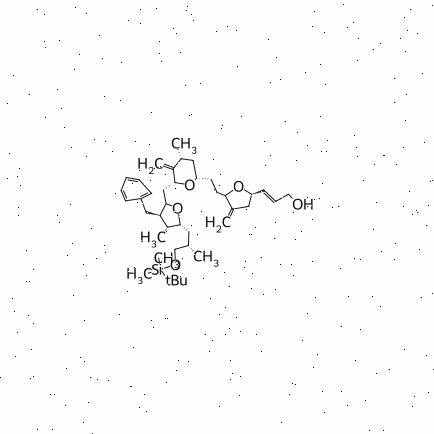 C=C1C[C@H](/C=C/CO)OC1CC[C@H]1C[C@@H](C)C(=C)[C@@H](CC2O[C@H](C[C@H](C)CO[Si](C)(C)C(C)(C)C)[C@H](C)[C@H]2Cc2ccccc2)O1